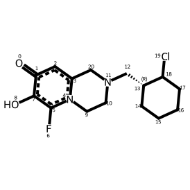 O=c1cc2n(c(F)c1O)CCN(C[C@H]1CCCCC1Cl)C2